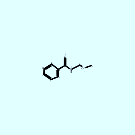 [CH3][Sn][CH2]NC(=O)c1ccccc1